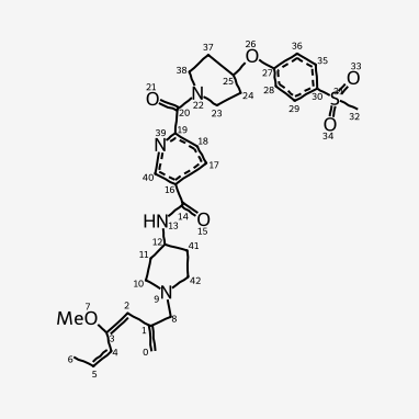 C=C(/C=C(\C=C/C)OC)CN1CCC(NC(=O)c2ccc(C(=O)N3CCC(Oc4ccc(S(C)(=O)=O)cc4)CC3)nc2)CC1